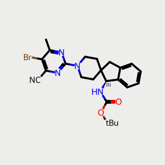 Cc1nc(N2CCC3(CC2)Cc2ccccc2[C@H]3NC(=O)OC(C)(C)C)nc(C#N)c1Br